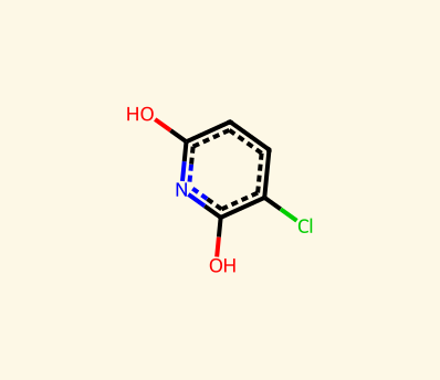 Oc1ccc(Cl)c(O)n1